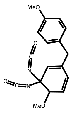 COc1ccc(CC2=CC(N=C=O)(N=C=O)C(OC)C=C2)cc1